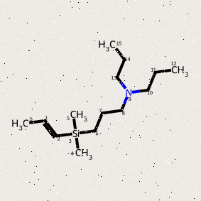 CC=C[Si](C)(C)CCCN(CCC)CCC